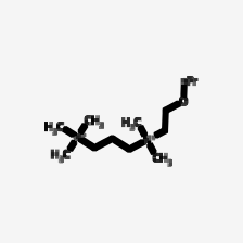 CCCOCC[N+](C)(C)CCC[N+](C)(C)C